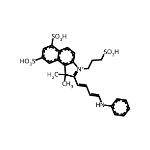 CC1(C)C(/C=C/C=C/Nc2ccccc2)=[N+](CCCS(=O)(=O)O)c2ccc3c(S(=O)(=O)O)cc(S(=O)(=O)O)cc3c21